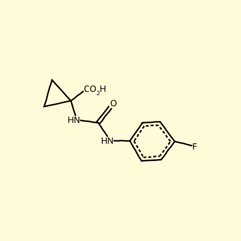 O=C(Nc1ccc(F)cc1)NC1(C(=O)O)CC1